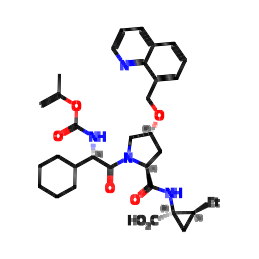 C=C(C)OC(=O)N[C@H](C(=O)N1C[C@H](OCc2cccc3cccnc23)C[C@H]1C(=O)N[C@]1(C(=O)O)C[C@@H]1CC)C1CCCCC1